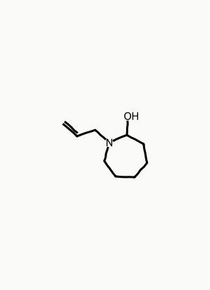 C=CCN1CCCCCC1O